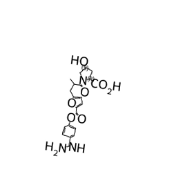 CC(Cc1ccc(C(=O)Oc2ccc(C(=N)N)cc2)o1)C(=O)N1C[C@@H](O)C[C@@H]1C(=O)O